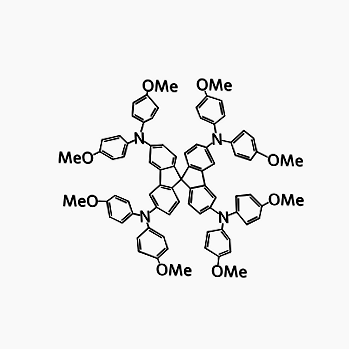 COc1ccc(N(c2ccc(OC)cc2)c2ccc3c(c2)-c2cc(N(c4ccc(OC)cc4)c4ccc(OC)cc4)ccc2C32c3ccc(N(c4ccc(OC)cc4)c4ccc(OC)cc4)cc3-c3cc(N(c4ccc(OC)cc4)c4ccc(OC)cc4)ccc32)cc1